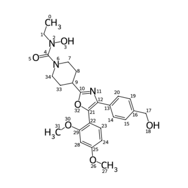 CCN(O)C(=O)N1CCC(c2nc(-c3ccc(CO)cc3)c(-c3ccc(OC)cc3OC)o2)CC1